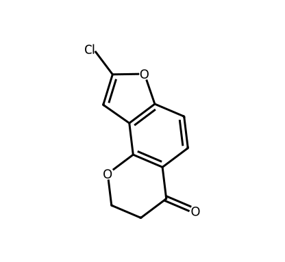 O=C1CCOc2c1ccc1oc(Cl)cc21